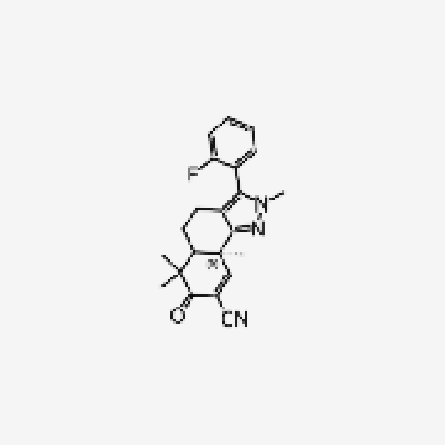 Cn1nc2c(c1-c1ccccc1F)CCC1C(C)(C)C(=O)C(C#N)=C[C@]21C